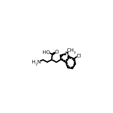 Cn1cc(CC(CCN)C(=O)O)c2cccc(Cl)c21